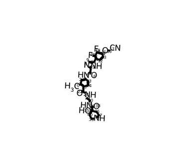 Cc1cc(NC(=O)c2ncc(-c3ccc(OCC#N)c(F)c3F)[nH]2)ccc1C(=O)NCCNC(=O)C1(O)CCNCC1